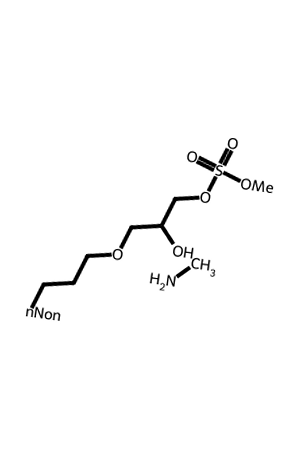 CCCCCCCCCCCCOCC(O)COS(=O)(=O)OC.CN